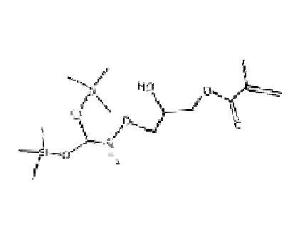 C=C(C)C(=O)OCC(O)CO[SiH2]C(O[Si](C)(C)C)O[Si](C)(C)C